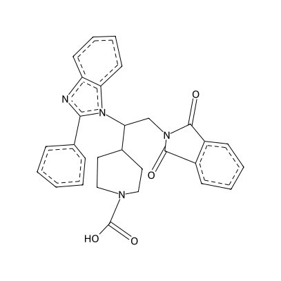 O=C(O)N1CCC(C(CN2C(=O)c3ccccc3C2=O)n2c(-c3ccccc3)nc3ccccc32)CC1